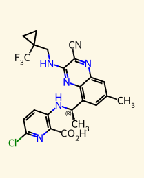 Cc1cc([C@@H](C)Nc2ccc(Cl)nc2C(=O)O)c2nc(NCC3(C(F)(F)F)CC3)c(C#N)nc2c1